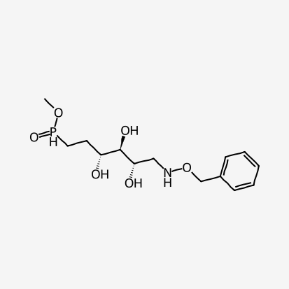 CO[PH](=O)CC[C@@H](O)[C@@H](O)[C@@H](O)CNOCc1ccccc1